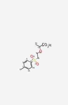 Cc1ccc(S(=O)(=O)CCOC(C)C(=O)O)cc1